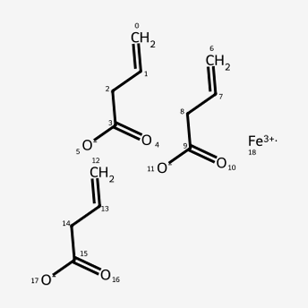 C=CCC(=O)[O-].C=CCC(=O)[O-].C=CCC(=O)[O-].[Fe+3]